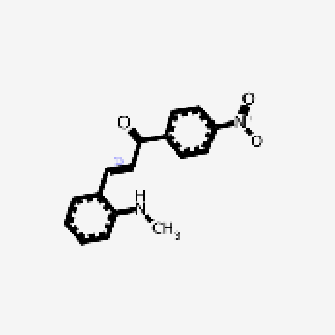 CNc1ccccc1/C=C/C(=O)c1ccc([N+](=O)[O-])cc1